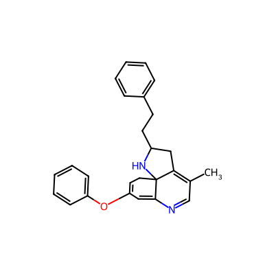 CC1=C2CC(CCc3ccccc3)NC23CC=C(Oc2ccccc2)C=C3N=C1